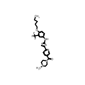 CCCCCOc1ccc(Nc2nc(-c3ccc(C(=O)N4CCN(C)CC4)cn3)cs2)cc1C(F)(F)F